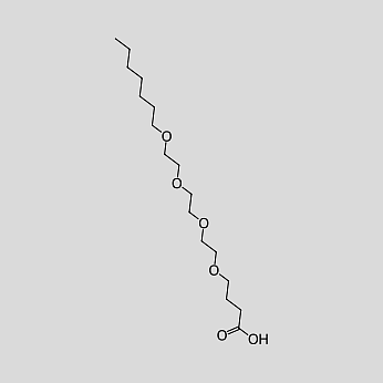 CCCCCCCOCCOCCOCCOCCCC(=O)O